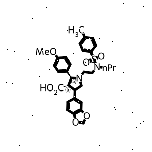 CCCN(CCN1CC(c2ccc3c(c2)OCO3)[C@H](C(=O)O)[C@H]1c1ccc(OC)cc1)S(=O)(=O)c1ccc(C)cc1